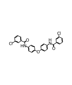 O=C(Nc1ccc(Oc2ccc(NC(=O)c3cccc(Cl)c3)cc2)cc1)c1cccc(Cl)c1